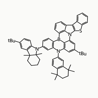 CC(C)(C)c1cc2c3c(c1)-n1c4sc5ccccc5c4c4cccc(c41)B3c1ccc(N3c4ccc(C(C)(C)C)cc4C4(C)CCCCC34C)cc1N2c1ccc2c(c1)C(C)(C)CCC2(C)C